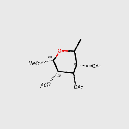 CO[C@@H]1OC(C)[C@H](OC(C)=O)C(OC(C)=O)[C@@H]1OC(C)=O